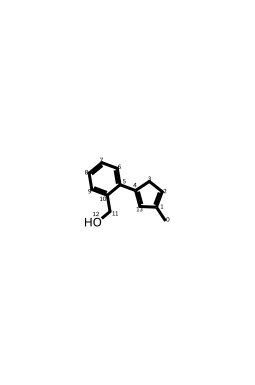 CC1=CCC(c2ccccc2CO)=C1